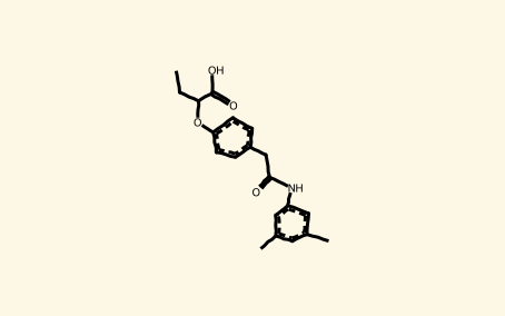 CCC(Oc1ccc(CC(=O)Nc2cc(C)cc(C)c2)cc1)C(=O)O